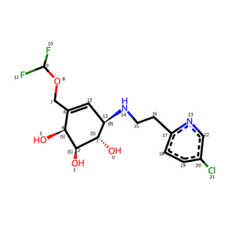 O[C@@H]1[C@@H](O)[C@@H](O)C(COC(F)F)=C[C@H]1NCCc1ccc(Cl)cn1